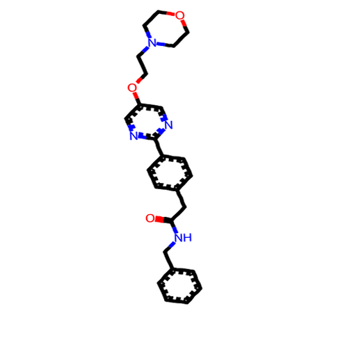 O=C(Cc1ccc(-c2ncc(OCCN3CCOCC3)cn2)cc1)NCc1ccccc1